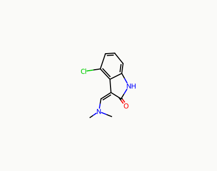 CN(C)C=C1C(=O)Nc2cccc(Cl)c21